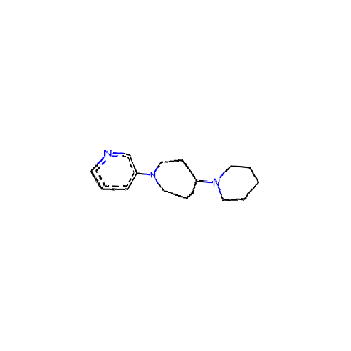 c1cncc(N2CCC(N3CCCCC3)CC2)c1